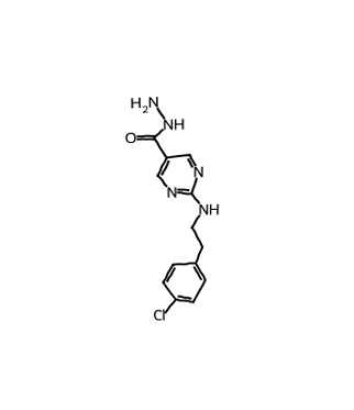 NNC(=O)c1cnc(NCCc2ccc(Cl)cc2)nc1